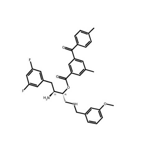 COc1cccc(CNC[C@@H](OC(=O)c2cc(C)cc(C(=O)c3ccc(C)cc3)c2)[C@@H](N)Cc2cc(F)cc(F)c2)c1